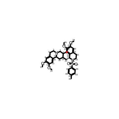 CCC1CN2CCc3cc(OC)c(OC)cc3C2CC1C[C@H]1c2cc(OC)c(OC)cc2CCN1S(=O)(=O)c1ccc(C)cc1